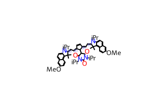 COc1ccc2c3c(ccc2c1)N(C(C)C)/C(=C/C=C1C=C/C(=C\C=C2\N(C(C)C)c4ccc5cc(OC)ccc5c4C2(C)C)C\1C1C(=O)N(C(C)C)C(=O)N(C(C)C)C1=O)C3(C)C